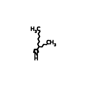 CCCCCCCC(CCCC)c1cc[nH]c1